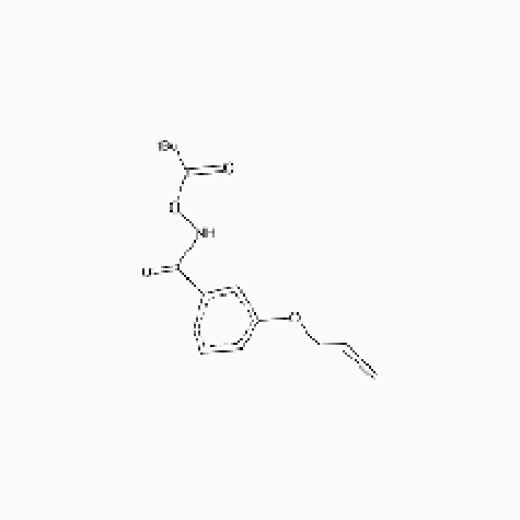 C=CCOc1cccc(C(=O)NOC(=O)C(C)(C)C)c1